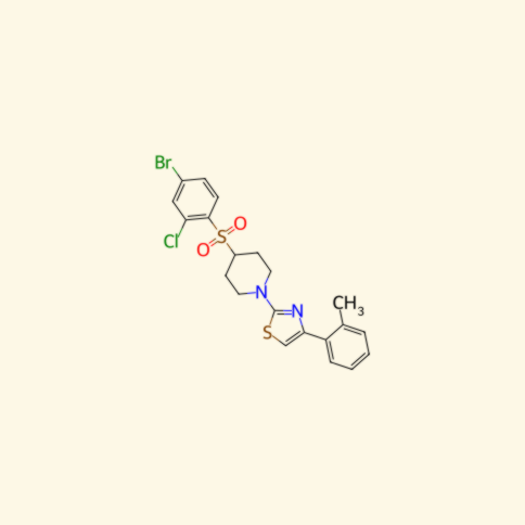 Cc1ccccc1-c1csc(N2CCC(S(=O)(=O)c3ccc(Br)cc3Cl)CC2)n1